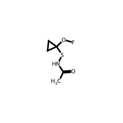 CC(=O)NSC1(OF)CC1